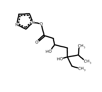 CCC(O)(CC(O)CC(=O)On1ccnc1)C(C)C